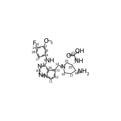 COc1cc(Nc2ncnn3ccc(CN4CC[C@@H](N)[C@@H](NC(=O)O)C4)c23)ccc1F